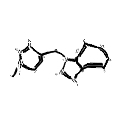 Cn1cc(Cn2nnc3ccccc32)nn1